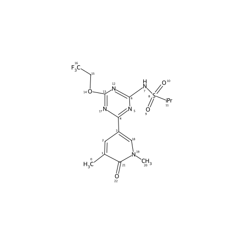 Cc1cc(-c2nc(NS(=O)(=O)C(C)C)nc(OCC(F)(F)F)n2)cn(C)c1=O